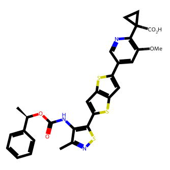 COc1cc(-c2cc3sc(-c4snc(C)c4NC(=O)O[C@H](C)c4ccccc4)cc3s2)cnc1C1(C(=O)O)CC1